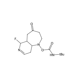 CC(C)(C)NC(=O)ON1CCC(=O)CC2C(F)N=CCC21